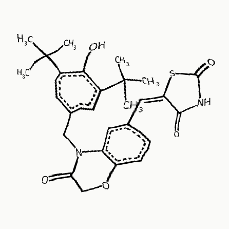 CC(C)(C)c1cc(CN2C(=O)COc3ccc(C=C4SC(=O)NC4=O)cc32)cc(C(C)(C)C)c1O